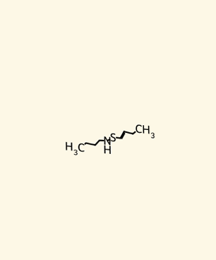 CCC=CSNCCCC